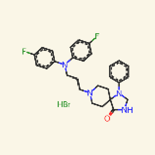 Br.O=C1NCN(c2ccccc2)C12CCN(CCCN(c1ccc(F)cc1)c1ccc(F)cc1)CC2